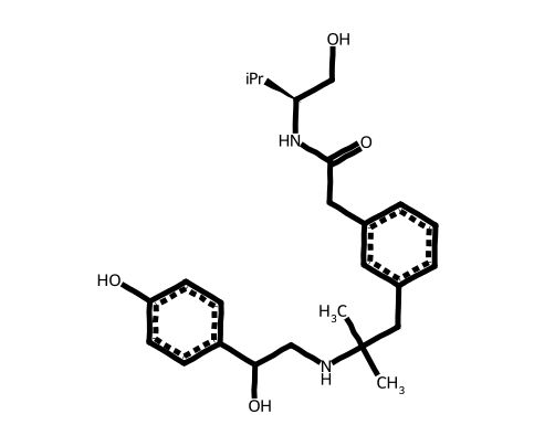 CC(C)[C@@H](CO)NC(=O)Cc1cccc(CC(C)(C)NCC(O)c2ccc(O)cc2)c1